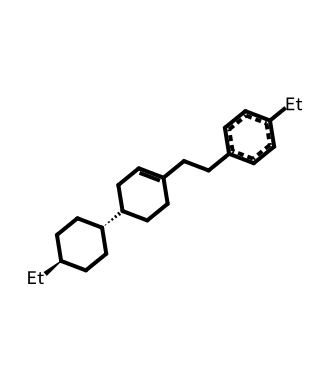 CCc1ccc(CCC2=CCC([C@H]3CC[C@H](CC)CC3)CC2)cc1